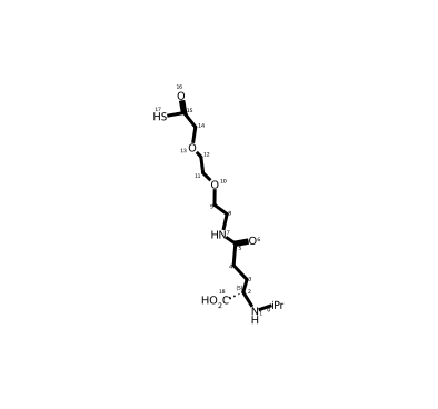 CC(C)N[C@@H](CCC(=O)NCCOCCOCC(=O)S)C(=O)O